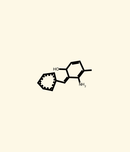 CC1=C(N)C(=Cc2ccccc2)C(O)C=C1